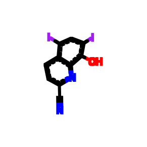 N#Cc1ccc2c(I)cc(I)c(O)c2n1